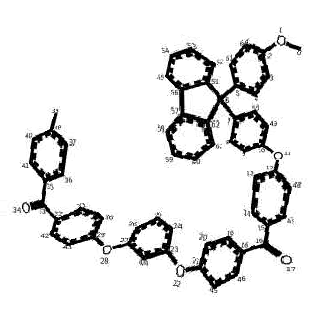 COc1ccc(C2(c3ccc(Oc4ccc(C(=O)c5ccc(Oc6cccc(Oc7ccc(C(=O)c8ccc(C)cc8)cc7)c6)cc5)cc4)cc3)c3ccccc3-c3ccccc32)cc1